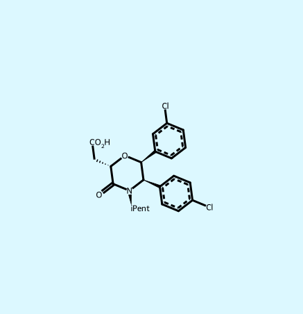 CCC[C@H](C)N1C(=O)[C@H](CC(=O)O)O[C@@H](c2cccc(Cl)c2)[C@H]1c1ccc(Cl)cc1